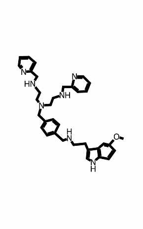 COc1ccc2[nH]cc(CCNCc3ccc(CN(CCNCc4ccccn4)CCNCc4ccccn4)cc3)c2c1